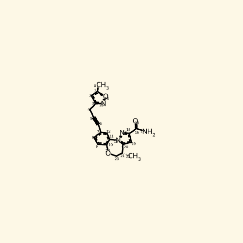 Cc1cc(CC#Cc2ccc3c(c2)-n2nc(C(N)=O)cc2[C@H](C)CO3)no1